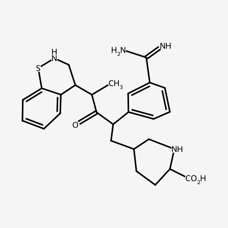 CC(C(=O)C(CC1CCC(C(=O)O)NC1)c1cccc(C(=N)N)c1)C1CNSc2ccccc21